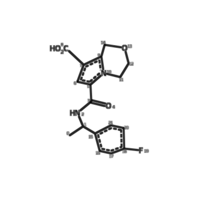 CC(NC(=O)c1cc(C(=O)O)c2n1CCOC2)c1ccc(F)cc1